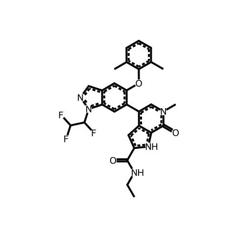 CCNC(=O)c1cc2c(-c3cc4c(cnn4C(F)C(F)F)cc3Oc3c(C)cccc3C)cn(C)c(=O)c2[nH]1